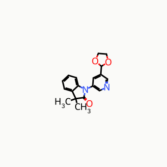 CC1(C)C(=O)N(c2cncc(C3OCCO3)c2)c2ccccc21